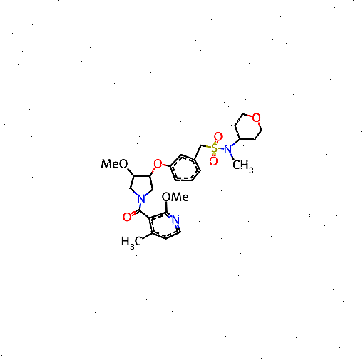 COc1nccc(C)c1C(=O)N1CC(OC)C(Oc2cccc(CS(=O)(=O)N(C)C3CCOCC3)c2)C1